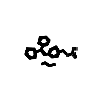 CCCC.O=[PH](O)OCc1ccc(C=C(c2ccccc2)c2ccccc2)cc1